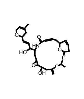 C=C1CC(C)CC2CC=CC(CC=CC(=O)NC(C(O)C=CC3CC(C)=CCO3)CC3OC3C(O)C1)O2